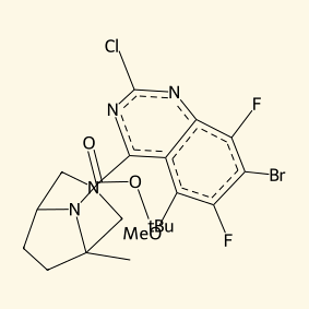 COc1c(F)c(Br)c(F)c2nc(Cl)nc(N3CC4CCC(C)(C3)N4C(=O)OC(C)(C)C)c12